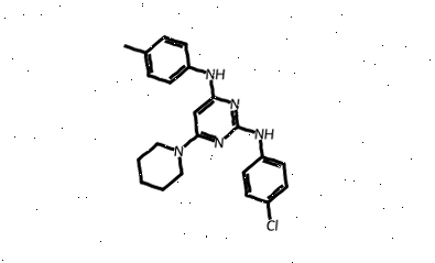 Cc1ccc(Nc2cc(N3CCCCC3)nc(Nc3ccc(Cl)cc3)n2)cc1